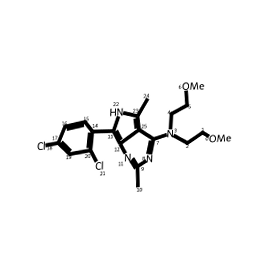 COCCN(CCOC)c1nc(C)nc2c(-c3ccc(Cl)cc3Cl)[nH]c(C)c12